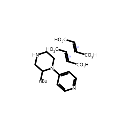 CCCCC1CNCCN1c1ccncc1.O=C(O)/C=C/C(=O)O.O=C(O)/C=C/C(=O)O